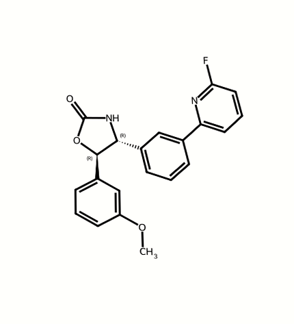 COc1cccc([C@H]2OC(=O)N[C@@H]2c2cccc(-c3cccc(F)n3)c2)c1